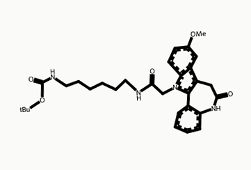 COc1ccc2c(c1)c1c(n2CC(=O)NCCCCCCNC(=O)OC(C)(C)C)-c2ccccc2NC(=O)C1